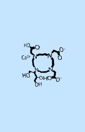 O=C([O-])CN1CCN(CC(=O)[O-])CCN([C@H](CO)[C@H](O)CO)CCN(CC(=O)O)CC1.[Ca+2]